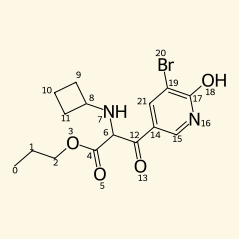 CCCOC(=O)C(NC1CCC1)C(=O)c1cnc(O)c(Br)c1